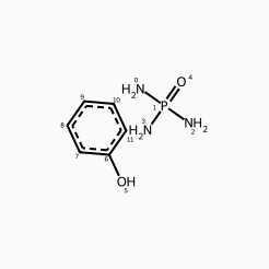 NP(N)(N)=O.Oc1ccccc1